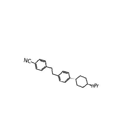 CCC[C@H]1CC[C@H](c2ccc(CCc3ccc(C#N)cc3)cc2)CC1